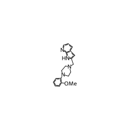 COc1ccccc1N1CCN(Cc2cc3cccnc3[nH]2)CC1